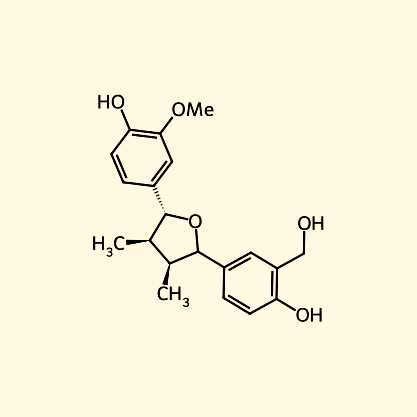 COc1cc([C@@H]2OC(c3ccc(O)c(CO)c3)[C@@H](C)[C@H]2C)ccc1O